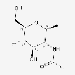 CC(=O)N[C@@H]1[C@@H](O)[C@H](C)[C@@H](CO)O[C@H]1C